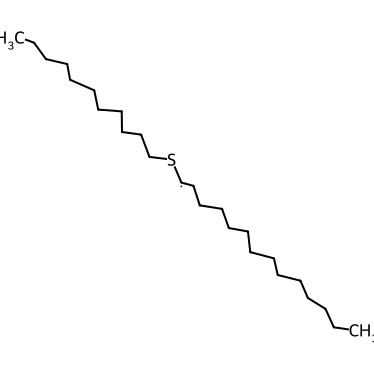 CCCCCCCCCCCCC[CH]SCCCCCCCCCCC